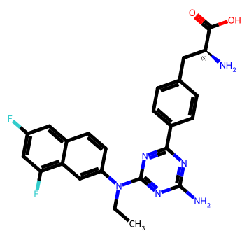 CCN(c1ccc2cc(F)cc(F)c2c1)c1nc(N)nc(-c2ccc(C[C@H](N)C(=O)O)cc2)n1